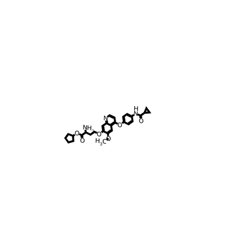 COc1cc2c(Oc3ccc(NC(=O)C4CC4)cc3)ccnc2cc1OCCC(N)C(=O)OC1CCCC1